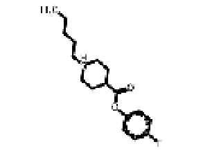 CCCCC[SiH]1CCC(C(=O)Oc2ccc(F)cc2)CC1